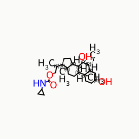 CC[C@H]1[C@@H](O)[C@@H]2[C@H](CC[C@]3(C)[C@@H]([C@H](C)COC(=O)NC4CC4)CC[C@@H]23)[C@@]2(C)CC[C@@H](O)C[C@@H]12